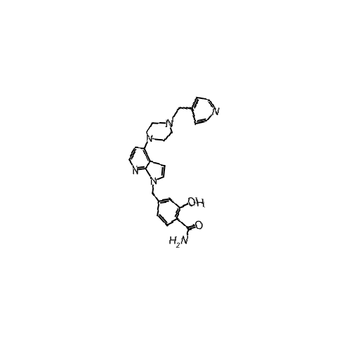 NC(=O)c1ccc(Cn2ccc3c(N4CCN(Cc5ccncc5)CC4)ccnc32)cc1O